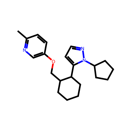 Cc1ccc(OCC2CCCCC2c2ccnn2C2CCCC2)cn1